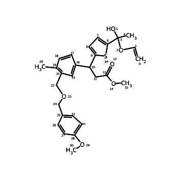 C=COC(C)(O)c1ccc(C(CC(=O)OC)c2ccc(C)c(COCc3ccc(OC)cc3)c2)s1